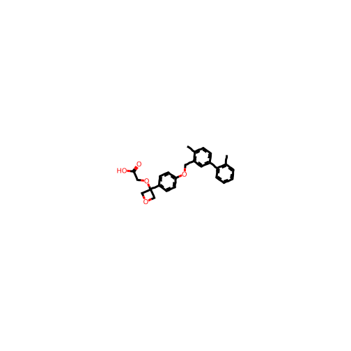 Cc1ccc(-c2ccccc2C)cc1COc1ccc(C2(OCC(=O)O)COC2)cc1